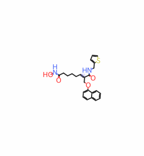 O=C(CCCC/C=C(\COc1cccc2ccccc12)C(=O)NCc1cccs1)NO